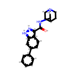 O=C(NC1CN2CCC1CC2)c1n[nH]c2cc(-c3ccccc3)ccc12